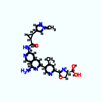 Cc1cc(C2=N[C@H](C(=O)O)CO2)ncc1-c1cc2cc(NC(=O)C3CC3c3cnn(C)c3)ncc2c(N)n1